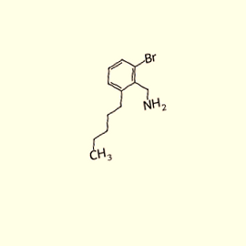 CCCCCc1cccc(Br)c1CN